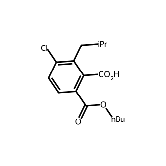 CCCCOC(=O)c1ccc(Cl)c(CC(C)C)c1C(=O)O